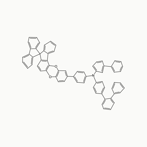 c1ccc(-c2cccc(N(c3ccc(-c4ccc5c(c4)Oc4c(ccc6c4-c4ccccc4C64c6ccccc6-c6ccccc64)O5)cc3)c3ccc(-c4ccccc4-c4ccccc4)cc3)c2)cc1